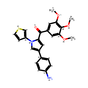 COc1cc(C(=O)c2cc(-c3ccc(N)cc3)cn2-c2ccsc2)cc(OC)c1OC